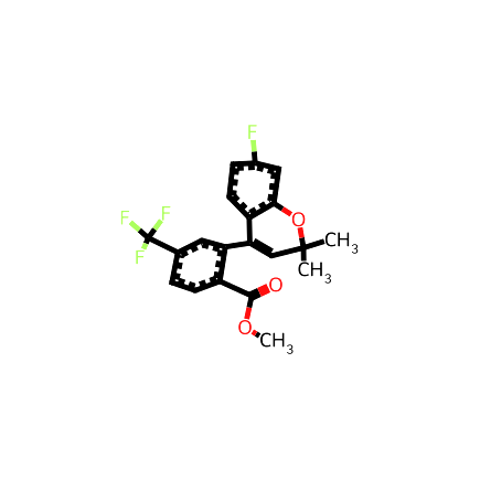 COC(=O)c1ccc(C(F)(F)F)cc1C1=CC(C)(C)Oc2cc(F)ccc21